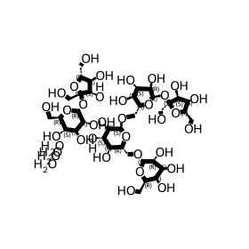 O.O.O.O.OC[C@H]1O[C@@](CO)(O[C@H]2O[C@H](CO)[C@@H](O)[C@H](O)[C@H]2O)[C@@H](O)[C@@H]1O.OC[C@H]1O[C@H](OC[C@H]2O[C@H](OC[C@H]3O[C@H](O[C@]4(CO)O[C@H](CO)[C@@H](O)[C@@H]4O)[C@H](O)[C@@H](O)[C@@H]3O)[C@H](O)[C@@H](O)[C@H]2O)[C@H](O)[C@@H](O)[C@H]1O